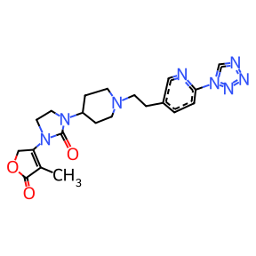 CC1=C(N2CCN(C3CCN(CCc4ccc(-n5cnnn5)nc4)CC3)C2=O)COC1=O